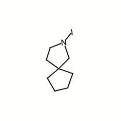 IN1CCC2(CCCC2)C1